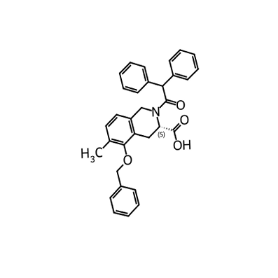 Cc1ccc2c(c1OCc1ccccc1)C[C@@H](C(=O)O)N(C(=O)C(c1ccccc1)c1ccccc1)C2